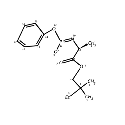 CCC(C)(C)COC(=O)[C@H](C)N=[P+]([O-])Oc1ccccc1